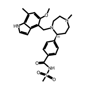 COc1cc(C)c2[nH]ccc2c1CN1CCN(C)CC[C@H]1c1ccc(C(=O)NS(C)(=O)=O)cc1